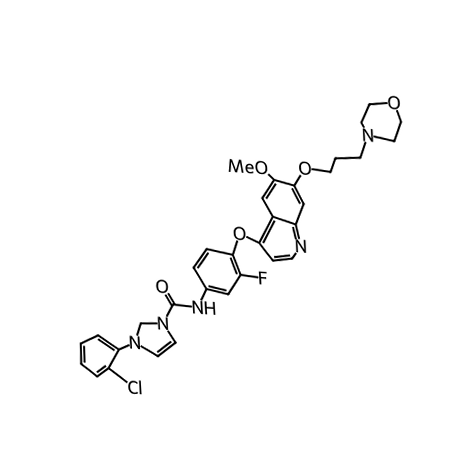 COc1cc2c(Oc3ccc(NC(=O)N4C=CN(c5ccccc5Cl)C4)cc3F)ccnc2cc1OCCCN1CCOCC1